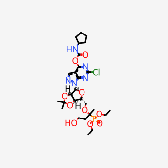 CCOP(=O)(OCC)C(C)(CCO)OC[C@H]1O[C@@H](n2ncc3c(OC(=O)NC4CCCC4)nc(Cl)nc32)[C@@H]2OC(C)(C)O[C@@H]21